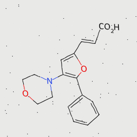 O=C(O)/C=C/c1cc(N2CCOCC2)c(-c2ccccc2)o1